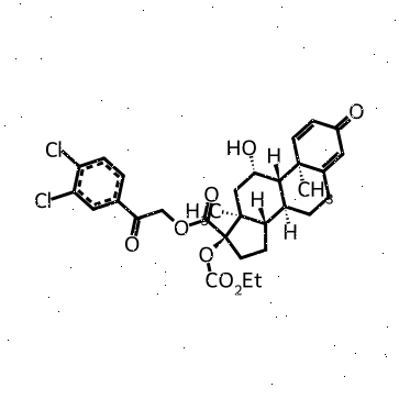 CCOC(=O)O[C@]1(C(=O)OCC(=O)c2ccc(Cl)c(Cl)c2)CC[C@H]2[C@@H]3CCC4=CC(=O)C=C[C@]4(C)[C@H]3[C@@H](O)C[C@@]21C